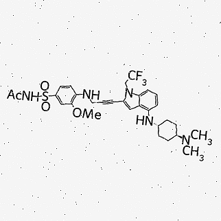 COc1cc(S(=O)(=O)NC(C)=O)ccc1NCC#Cc1cc2c(N[C@H]3CC[C@H](N(C)C)CC3)cccc2n1CC(F)(F)F